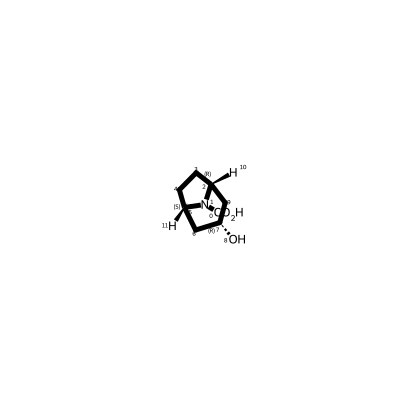 O=C(O)N1[C@@H]2CC[C@H]1C[C@@H](O)C2